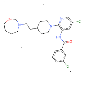 O=C(Nc1cc(Cl)cnc1N1CCC(CCN2CCCCOC2)CC1)c1cccc(Cl)c1